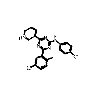 Cc1ccc(Cl)cc1-c1nc(Nc2ccc(Cl)cc2)nc(C2CCCNC2)n1